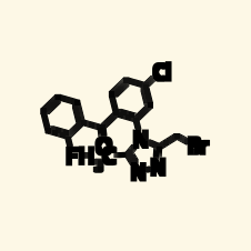 Cc1nnc(CBr)n1-c1cc(Cl)ccc1C(=O)c1ccccc1F